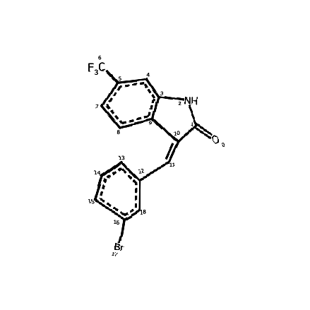 O=C1Nc2cc(C(F)(F)F)ccc2C1=Cc1cccc(Br)c1